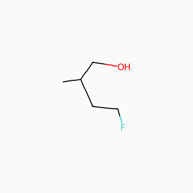 CC(CO)CCF